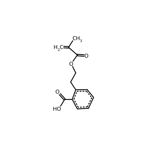 C=C(C)C(=O)OCCc1ccccc1C(=O)O